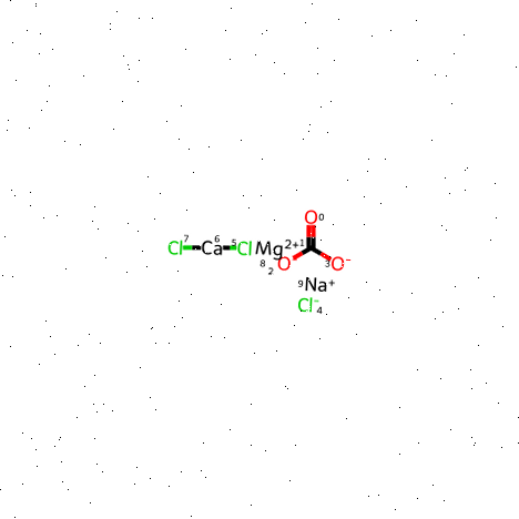 O=C([O-])[O-].[Cl-].[Cl][Ca][Cl].[Mg+2].[Na+]